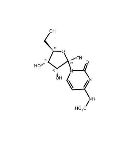 N#C[C@@]1(n2ccc(NC(=O)O)nc2=O)O[C@H](CO)[C@@H](O)[C@H]1O